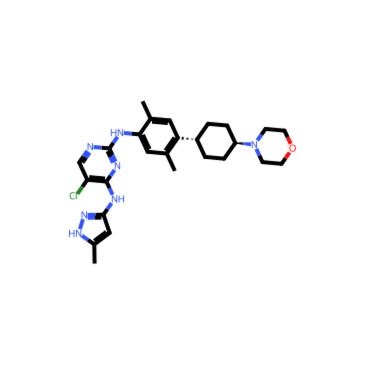 Cc1cc(Nc2nc(Nc3cc(C)c([C@H]4CC[C@H](N5CCOCC5)CC4)cc3C)ncc2Cl)n[nH]1